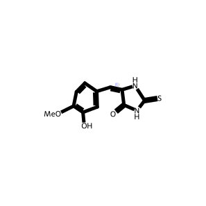 COc1ccc(/C=C2/NC(=S)NC2=O)cc1O